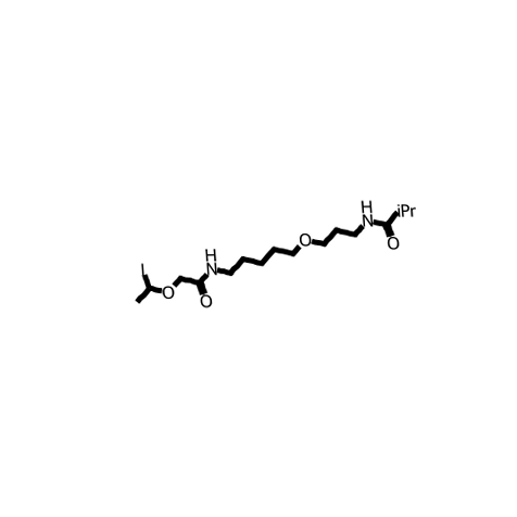 CC(I)OCC(=O)NCCCCCOCCCNC(=O)C(C)C